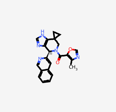 Cc1ncoc1C(=O)N1CC2(CC2)c2[nH]cnc2[C@@H]1c1cc2ccccc2cn1